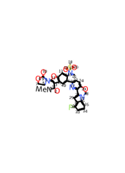 CNC(=O)c1c(N2CCOC2=O)oc2cc(N(C)S(C)(=O)=O)c(-c3ccc4c(n3)-c3cc5c(F)cccc5n3CO4)cc12